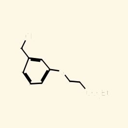 CCOC(=O)CCSc1cccc(CCl)c1